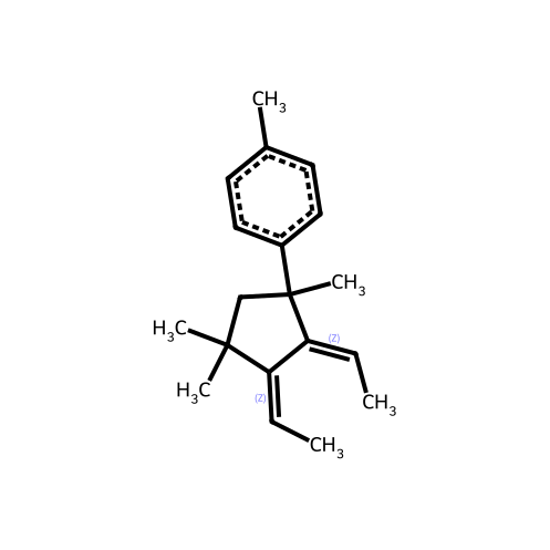 C/C=C1\C(=C/C)C(C)(c2ccc(C)cc2)CC1(C)C